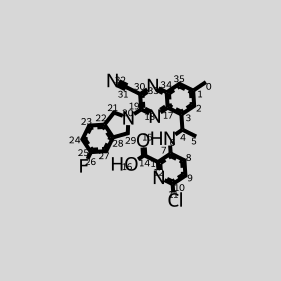 Cc1cc(C(C)Nc2ccc(Cl)nc2C(=O)O)c2nc(N3Cc4ccc(F)cc4C3)c(C#N)nc2c1